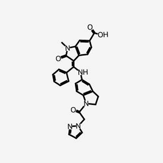 CN1C(=O)C(=C(Nc2ccc3c(c2)CCN3C(=O)Cn2cccn2)c2ccccc2)c2ccc(C(=O)O)cc21